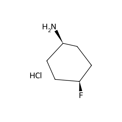 Cl.N[C@H]1CC[C@@H](F)CC1